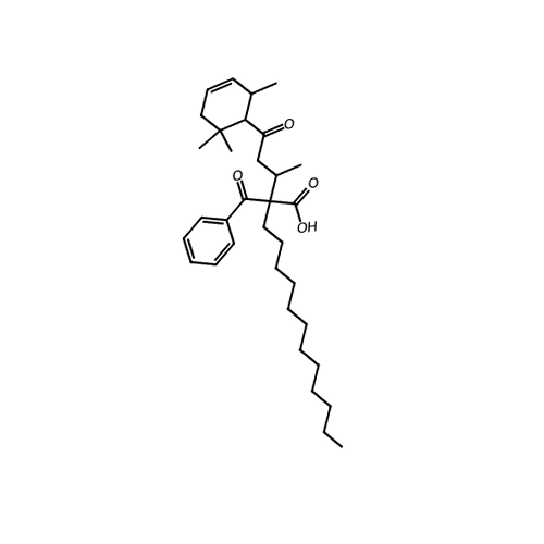 CCCCCCCCCCCCC(C(=O)O)(C(=O)c1ccccc1)C(C)CC(=O)C1C(C)C=CCC1(C)C